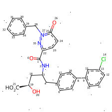 O=C(NC(Cc1ccc(-c2cccc(Cl)c2)cc1)C[C@@H](O)C(=O)O)c1ccc(=O)n(Cc2ccccc2)n1